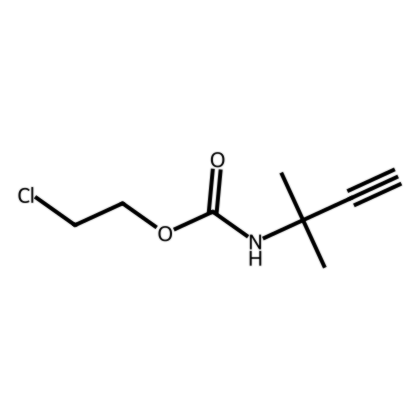 C#CC(C)(C)NC(=O)OCCCl